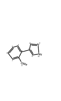 COc1ccccc1-c1[c]n[nH]c1